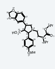 CCCOC(=O)N(CCC)CCN1CC(c2ccc3c(c2)OCO3)C(C(=O)O)C1c1ccc(OC)cc1